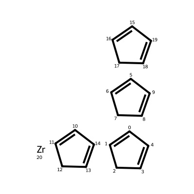 C1=CCC=C1.C1=CCC=C1.C1=CCC=C1.C1=CCC=C1.[Zr]